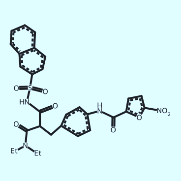 CCN(CC)C(=O)C(Cc1ccc(NC(=O)c2ccc([N+](=O)[O-])o2)cc1)C(=O)NS(=O)(=O)c1ccc2ccccc2c1